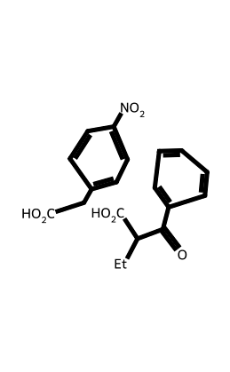 CCC(C(=O)O)C(=O)c1ccccc1.O=C(O)Cc1ccc([N+](=O)[O-])cc1